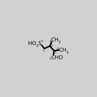 CC(C=O)C(C)CS(=O)(=O)O